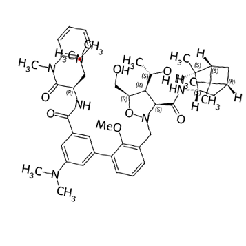 COc1c(CN2O[C@@H](CO)[C@@H]([C@H](C)O)[C@H]2C(=O)N[C@H]2C[C@H]3C[C@@H]([C@@H]2C)C3(C)C)cccc1-c1cc(C(=O)N[C@H](CN(C)C)C(=O)N(C)c2ccccc2)cc(N(C)C)c1